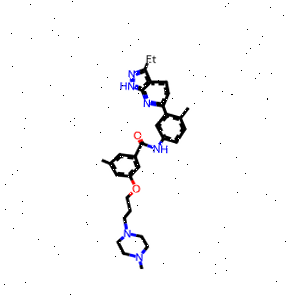 CCc1n[nH]c2nc(-c3cc(NC(=O)c4cc(C)cc(OCCCN5CCN(C)CC5)c4)ccc3C)ccc12